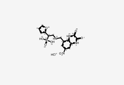 Cl.O=c1[nH]c2cc([N+](=O)[O-])cc(CNCC(c3ccco3)P(=O)(O)O)c2[nH]c1=O